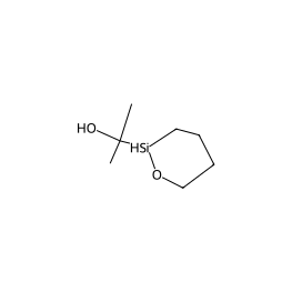 CC(C)(O)[SiH]1CCCCO1